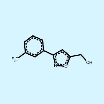 OCc1cc(-c2cccc(C(F)(F)F)c2)no1